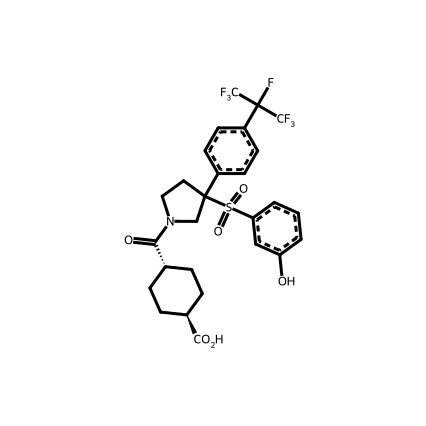 O=C(O)[C@H]1CC[C@H](C(=O)N2CCC(c3ccc(C(F)(C(F)(F)F)C(F)(F)F)cc3)(S(=O)(=O)c3cccc(O)c3)C2)CC1